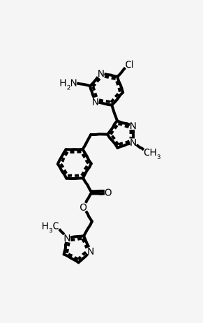 Cn1cc(Cc2cccc(C(=O)OCc3nccn3C)c2)c(-c2cc(Cl)nc(N)n2)n1